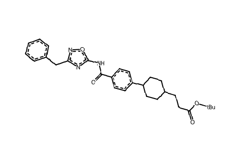 CC(C)(C)OC(=O)CCC1CCC(c2ccc(C(=O)Nc3nc(Cc4ccccc4)no3)cc2)CC1